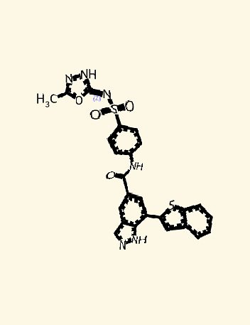 Cc1n[nH]/c(=N/S(=O)(=O)c2ccc(NC(=O)c3cc(-c4cc5ccccc5s4)c4[nH]ncc4c3)cc2)o1